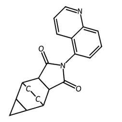 O=C1C2C3CCC(C4CC43)C2C(=O)N1c1cccc2ncccc12